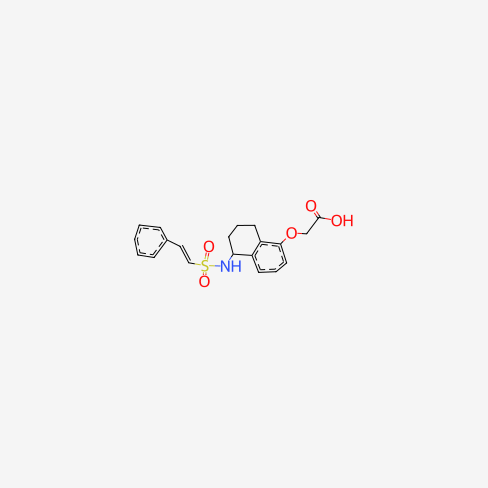 O=C(O)COc1cccc2c1CCCC2NS(=O)(=O)C=Cc1ccccc1